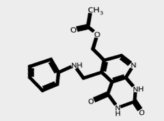 CC(=O)OCc1cnc2[nH]c(=O)[nH]c(=O)c2c1CNc1ccccc1